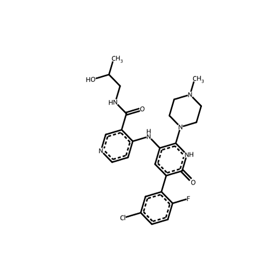 CC(O)CNC(=O)c1cnccc1Nc1cc(-c2cc(Cl)ccc2F)c(=O)[nH]c1N1CCN(C)CC1